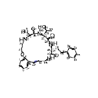 CCC(C)[C@@H]1NCCOc2ccccc2/C=C/CNC(=O)[C@@H](CCc2ccccc2)NC(=O)[C@H](C(C)O)N(C)C1=O